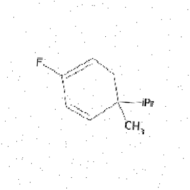 CC(C)C1(C)C=CC(F)=CC1